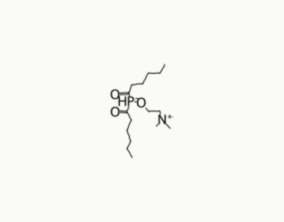 CCCCCC(=O)[PH-](OCC[N+](C)(C)C)C(=O)CCCCC